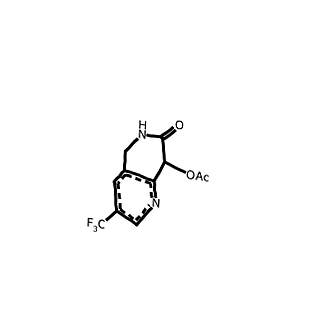 CC(=O)OC1C(=O)NCc2cc(C(F)(F)F)cnc21